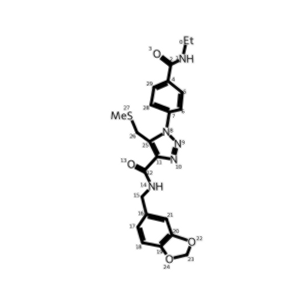 CCNC(=O)c1ccc(-n2nnc(C(=O)NCc3ccc4c(c3)OCO4)c2CSC)cc1